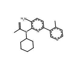 C=C(C)N(c1nc(-c2cnccc2C)ccc1N)C1CCCCC1